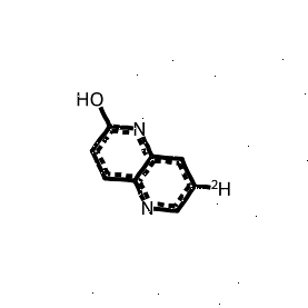 [2H]c1cnc2ccc(O)nc2c1